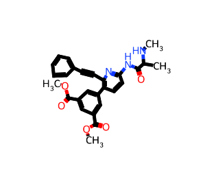 CNC(C)C(=O)Nc1ccc(-c2cc(C(=O)OC)cc(C(=O)OC)c2)c(C#Cc2ccccc2)n1